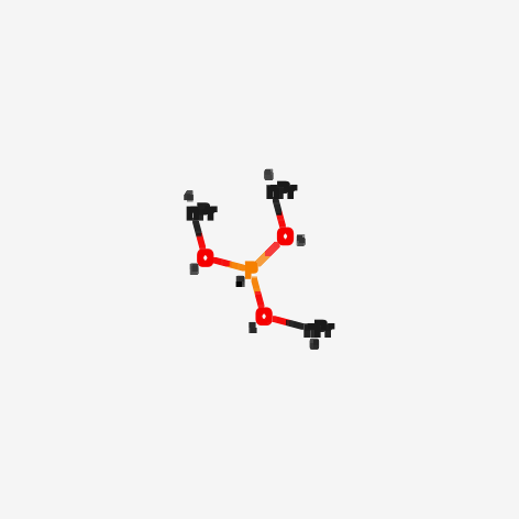 CCCOP(OCCC)OCCC